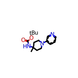 CC1(NC(=O)OC(C)(C)C)CCN(c2cccnc2)CC1